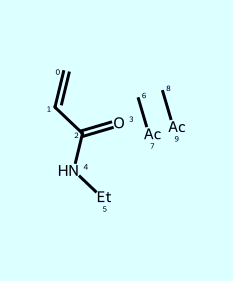 C=CC(=O)NCC.CC(C)=O.CC(C)=O